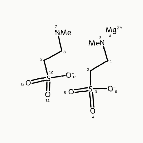 CNCCS(=O)(=O)[O-].CNCCS(=O)(=O)[O-].[Mg+2]